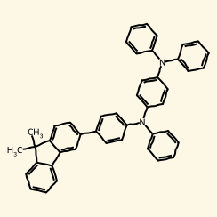 CC1(C)c2ccccc2-c2cc(-c3ccc(N(c4ccccc4)c4ccc(N(c5ccccc5)c5ccccc5)cc4)cc3)ccc21